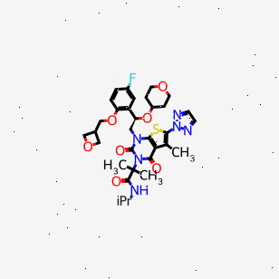 Cc1c(-n2nccn2)sc2c1c(=O)n(C(C)(C)C(=O)NC(C)C)c(=O)n2C[C@H](OC1CCOCC1)c1cc(F)ccc1OCC1COC1